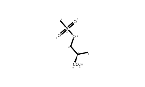 C[C@H](COS(C)(=O)=O)C(=O)O